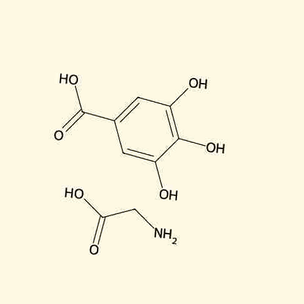 NCC(=O)O.O=C(O)c1cc(O)c(O)c(O)c1